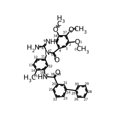 COc1cc(C(=O)N(C(=N)N)c2ccc(C)c(NC(=O)c3cccc(-c4ccccc4)c3)c2)cc(OC)c1OC